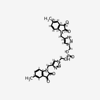 Cc1ccc2c(c1)C(=O)C(=O)N2Cc1cn(CO[PH](=O)OCn2cc(CN3C(=O)C(=O)c4cc(C)ccc43)nn2)nn1